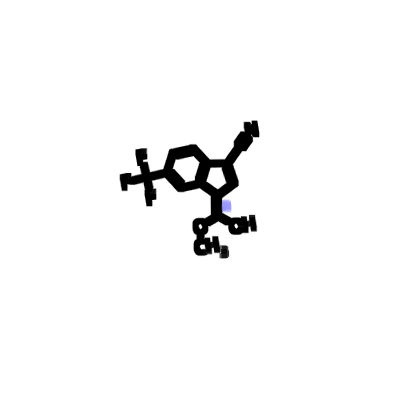 CO/C(O)=C1/C=C(C#N)c2ccc(C(F)(F)F)cc21